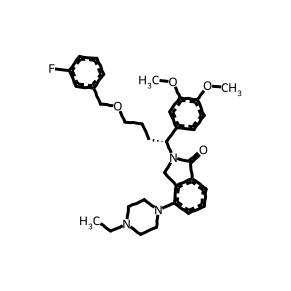 CCN1CCN(c2cccc3c2CN([C@H](CCCOCc2cccc(F)c2)c2ccc(OC)c(OC)c2)C3=O)CC1